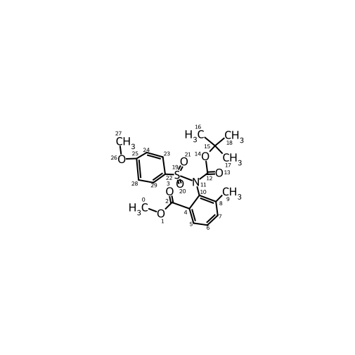 COC(=O)c1cccc(C)c1N(C(=O)OC(C)(C)C)S(=O)(=O)c1ccc(OC)cc1